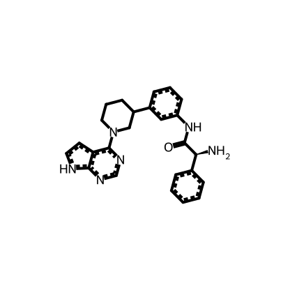 N[C@H](C(=O)Nc1cccc(C2CCCN(c3ncnc4[nH]ccc34)C2)c1)c1ccccc1